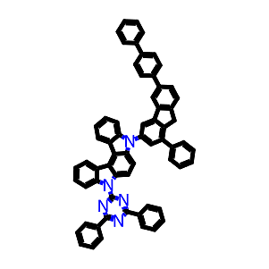 c1ccc(-c2ccc(-c3ccc4c(c3)-c3cc(-n5c6ccccc6c6c7c8ccccc8n(-c8nc(-c9ccccc9)nc(-c9ccccc9)n8)c7ccc65)cc(-c5ccccc5)c3C4)cc2)cc1